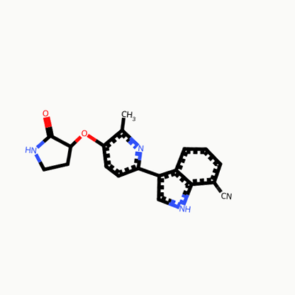 Cc1nc(-c2c[nH]c3c(C#N)cccc23)ccc1OC1CCNC1=O